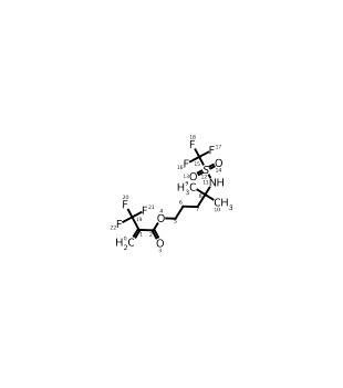 C=C(C(=O)OCCCC(C)(C)NS(=O)(=O)C(F)(F)F)C(F)(F)F